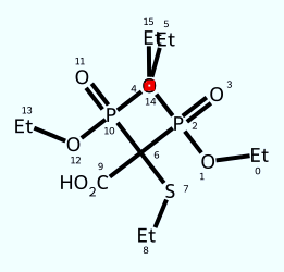 CCOP(=O)(OCC)C(SCC)(C(=O)O)P(=O)(OCC)OCC